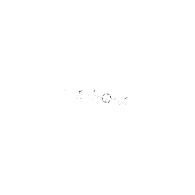 COC(=S)N(C)C[C@H]1CN(c2cc(F)c(N3CC(=O)N(C)C3)c(F)c2)C(=O)O1